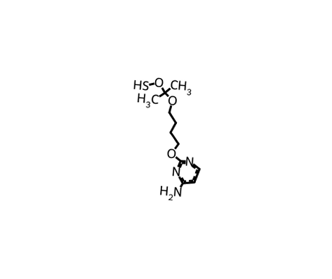 CC(C)(OS)OCCCCOc1nccc(N)n1